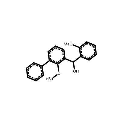 CCCCOc1c(-c2ccccc2)cccc1C(O)c1ccccc1OC